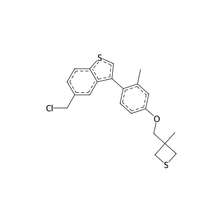 Cc1cc(OCC2(C)CSC2)ccc1-c1csc2ccc(CCl)cc12